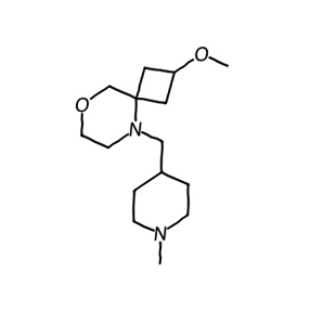 COC1CC2(COCCN2CC2CCN(C)CC2)C1